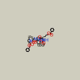 CC(C)[C@H](NC(=O)C(C)(C)NC(=O)[C@H](CCCCOC(=O)c1ccccc1)NC(=O)OC(C)(C)C)C(=O)N1CCC[C@@H]1C(=O)OCc1ccccc1